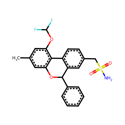 Cc1cc(OC(F)F)c2c(c1)OC(c1ccccc1)c1cc(CS(N)(=O)=O)ccc1-2